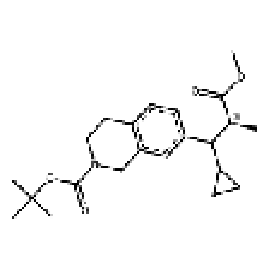 COC(=O)[C@@H](C)C(c1ccc2c(c1)CN(C(=O)OC(C)(C)C)CC2)C1CC1